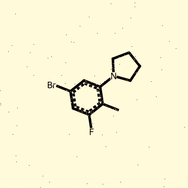 Cc1c(F)cc(Br)cc1N1CCCC1